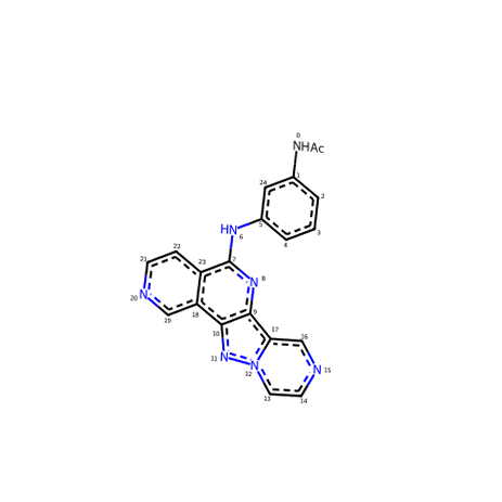 CC(=O)Nc1cccc(Nc2nc3c(nn4ccncc34)c3cnccc23)c1